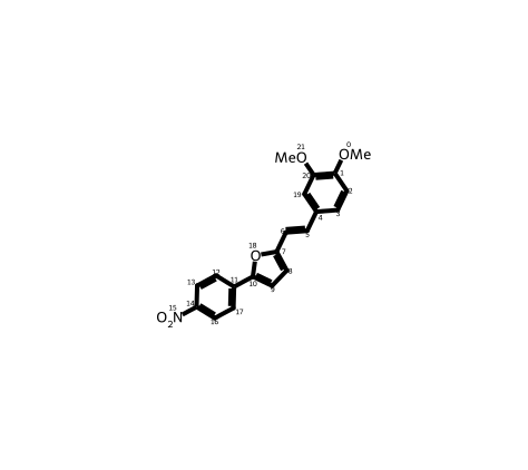 COc1ccc(C=Cc2ccc(-c3ccc([N+](=O)[O-])cc3)o2)cc1OC